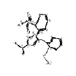 COc1ccccc1-c1cc(C(F)F)nn1-c1ccccc1S(N)(=O)=O